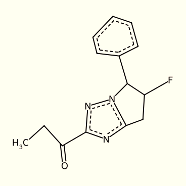 CCC(=O)c1nc2n(n1)C(c1ccccc1)C(F)C2